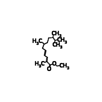 CCOC(=O)C(C)=CC=CCC(C)CCC(C)C(C)C